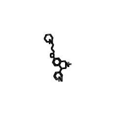 CN1Cc2cc(OCCCN3CCCCC3)ccc2C(c2cccnc2)C1